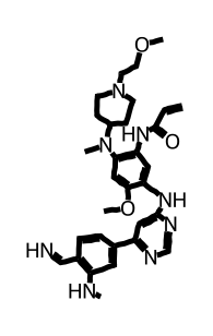 C=CC(=O)Nc1cc(Nc2cc(-c3ccc(C=N)c(NC)c3)ncn2)c(OC)cc1N(C)C1CCN(CCOC)CC1